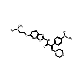 CN(C)CCOc1ccc2nc(NC(=O)/C(=N/N3CCOCC3)c3ccc([S+](C)[O-])cc3)sc2n1